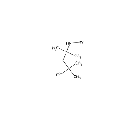 CCCC(C)(C)CC(C)(C)NC(C)C